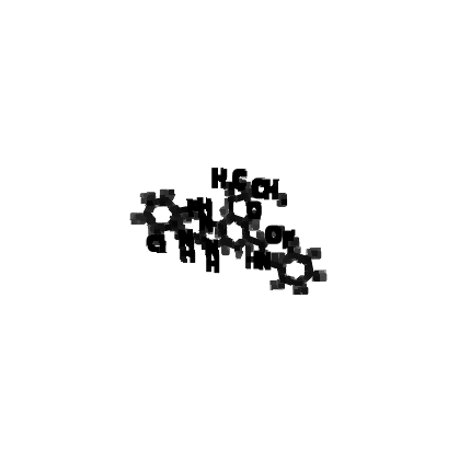 CC1(C)Cc2c3c(cc(C(=O)Nc4ccccc4F)c2O1)NC(Nc1c(F)cccc1Cl)N3